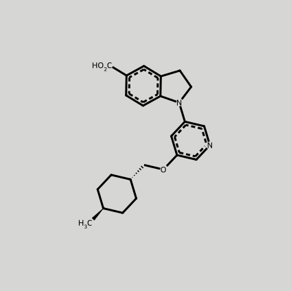 C[C@H]1CC[C@H](COc2cncc(N3CCc4cc(C(=O)O)ccc43)c2)CC1